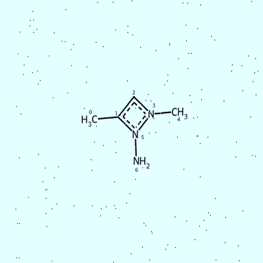 Cc1cn(C)n1N